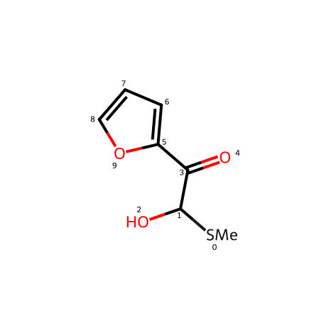 CSC(O)C(=O)c1ccco1